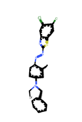 Cc1cc(N(CC#N)Cc2ccccc2)ccc1N=Nc1nc2cc(Cl)c(Cl)cc2s1